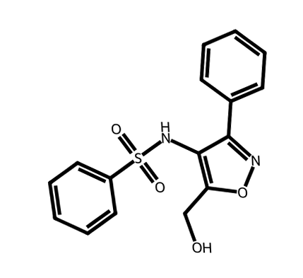 O=S(=O)(Nc1c(-c2ccccc2)noc1CO)c1ccccc1